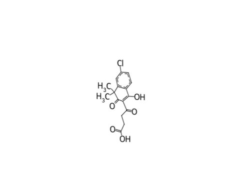 CC1(C)C(=O)C(C(=O)CCC(=O)O)=C(O)c2ccc(Cl)cc21